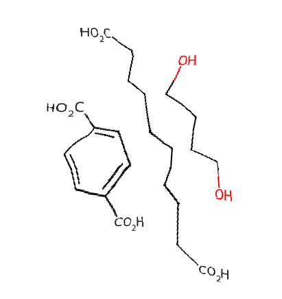 O=C(O)CCCCCCCCC(=O)O.O=C(O)c1ccc(C(=O)O)cc1.OCCCCO